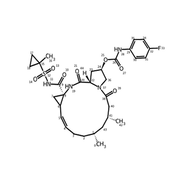 C[C@@H]1CC/C=C\C2C[C@@]2(C(=O)NS(=O)(=O)C2(C)CC2)NC(=O)[C@@H]2C[C@@H](OC(=O)Nc3ccc(F)cc3)CN2C(=O)C[C@H](C)C1